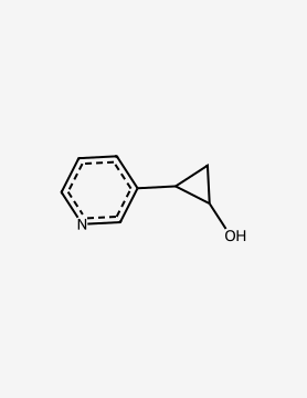 OC1CC1c1cccnc1